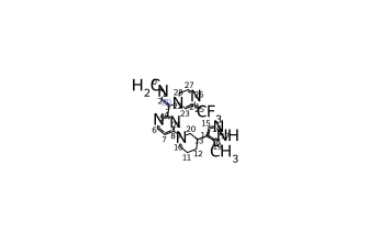 C=N/C=C(/c1nccc(N2CCCC(c3cn[nH]c3C)C2)n1)N1C=C(C(F)(F)F)N=CC1